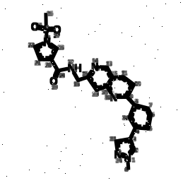 Cn1cc(-c2cccc(-c3ccc4cnc(CNC(=O)c5ccn(S(C)(=O)=O)c5)cc4n3)c2)cn1